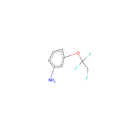 Nc1cccc(OC(F)(F)CF)c1